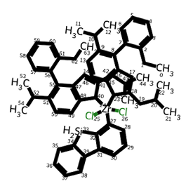 CCc1ccccc1-c1c(C(C)C)ccc2c1C=C(CC(C)C)[CH]2[Zr]([Cl])([Cl])([c]1cccc2c1[SiH2]c1ccccc1-2)[CH]1C(CC(C)C)=Cc2c1ccc(C(C)C)c2-c1ccccc1CC